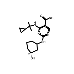 CC(C)(Nc1nc(NC2CCC[C@@H](O)C2)ncc1C(N)=O)C1CC1